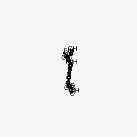 C=CCn1c(=O)c2cnc(Nc3ccc(N4CC5(C4)CN(C4CCN(c6ccc7c(c6)C(=O)N(C6CCC(=O)NC6=O)C7=O)CC4)C5)cc3)nc2n1-c1ccc2c(n1)[C@@](O)(CC)CC2